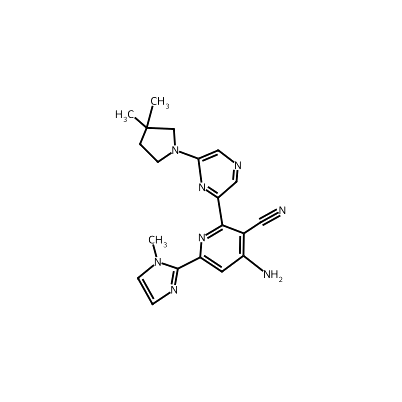 Cn1ccnc1-c1cc(N)c(C#N)c(-c2cncc(N3CCC(C)(C)C3)n2)n1